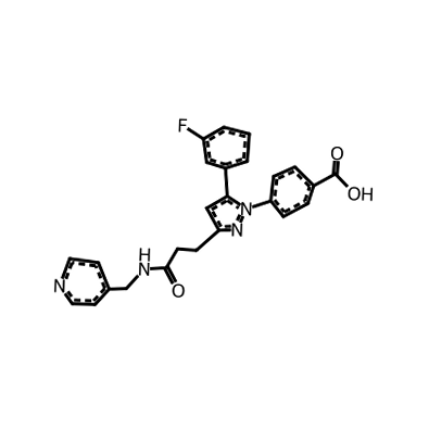 O=C(CCc1cc(-c2cccc(F)c2)n(-c2ccc(C(=O)O)cc2)n1)NCc1ccncc1